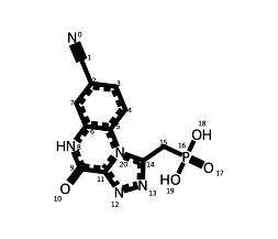 N#Cc1ccc2c(c1)[nH]c(=O)c1nnc(CP(=O)(O)O)n12